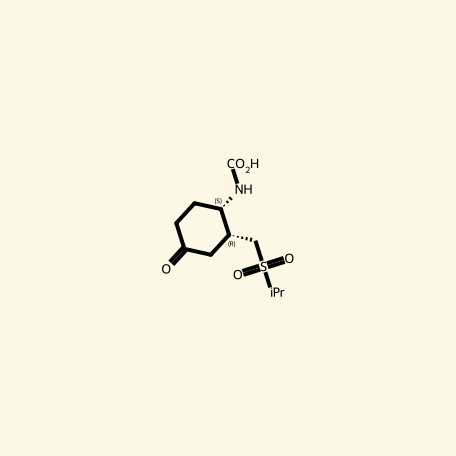 CC(C)S(=O)(=O)C[C@@H]1CC(=O)CC[C@@H]1NC(=O)O